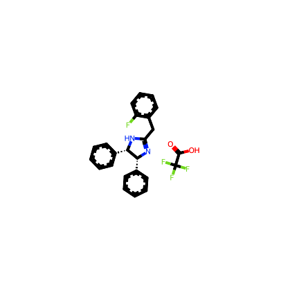 Fc1ccccc1CC1=N[C@H](c2ccccc2)[C@H](c2ccccc2)N1.O=C(O)C(F)(F)F